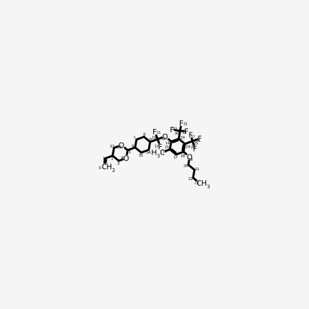 C=CC1COC(C2CCC(C(F)(F)Oc3c(C)cc(OCCCC)c(C(F)(F)F)c3C(F)(F)F)CC2)OC1